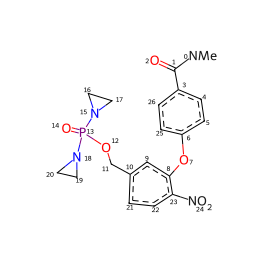 CNC(=O)c1ccc(Oc2cc(COP(=O)(N3CC3)N3CC3)ccc2[N+](=O)[O-])cc1